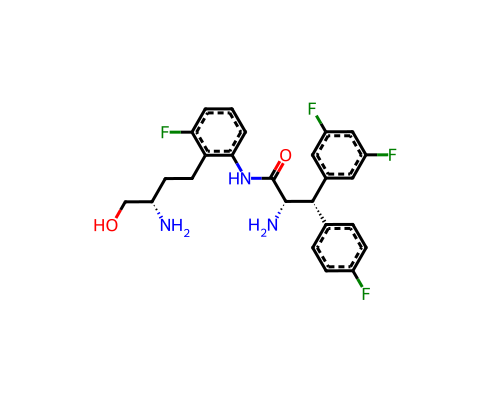 N[C@H](CO)CCc1c(F)cccc1NC(=O)[C@@H](N)[C@@H](c1ccc(F)cc1)c1cc(F)cc(F)c1